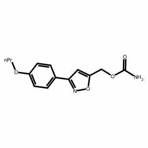 CCCOc1ccc(-c2cc(COC(N)=O)on2)cc1